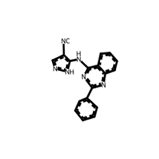 [C-]#[N+]c1cn[nH]c1Nc1nc(-c2ccccc2)nc2ccccc12